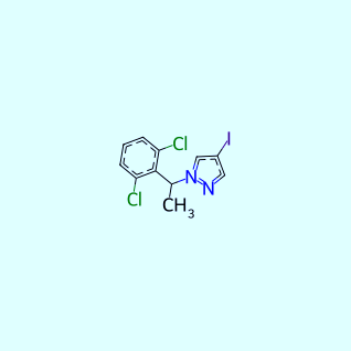 CC(c1c(Cl)cccc1Cl)n1cc(I)cn1